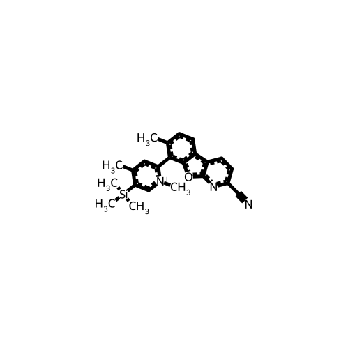 Cc1cc(-c2c(C)ccc3c2oc2nc(C#N)ccc23)[n+](C)cc1[Si](C)(C)C